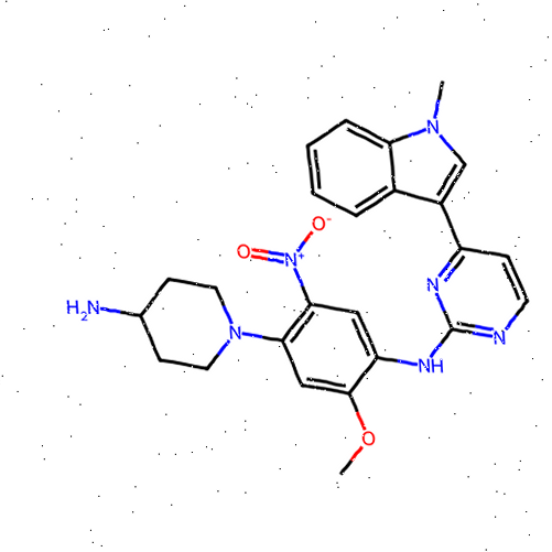 COc1cc(N2CCC(N)CC2)c([N+](=O)[O-])cc1Nc1nccc(-c2cn(C)c3ccccc23)n1